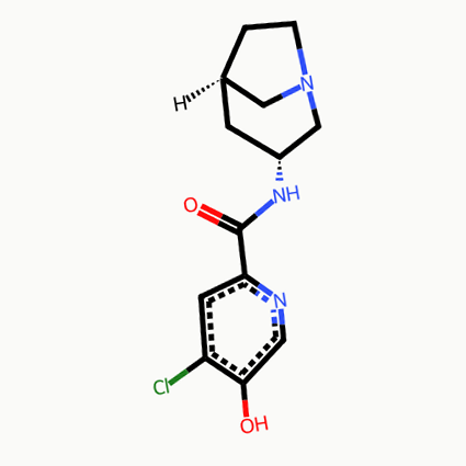 O=C(N[C@@H]1C[C@H]2CCN(C2)C1)c1cc(Cl)c(O)cn1